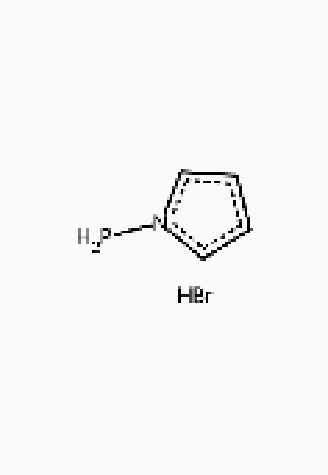 Br.Pn1cccc1